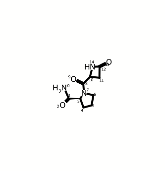 NC(=O)[C@@H]1CCCN1C(=O)C1CC(=O)N1